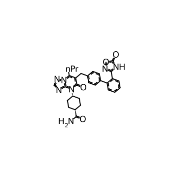 CCCc1c(Cc2ccc(-c3ccccc3-c3noc(=O)[nH]3)cc2)c(=O)n([C@H]2CC[C@H](C(N)=O)CC2)c2ncnn12